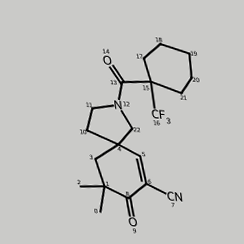 CC1(C)CC2(C=C(C#N)C1=O)CCN(C(=O)C1(C(F)(F)F)CCCCC1)C2